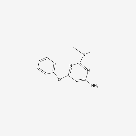 CN(C)c1nc(N)cc(Oc2ccccc2)n1